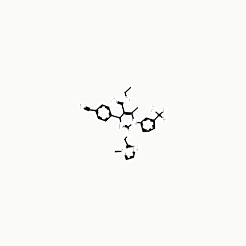 CCOC(=O)C1=C(C)N(c2cccc(C(F)(F)F)c2)C(SCc2nccn2C)=NC1c1ccc(C#N)cc1